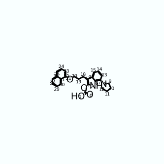 O=C(O)Oc1[nH]c2c(N3CCCC3)cccc2c1CCCOc1cccc2ccccc12